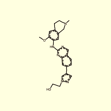 COc1cc2c(cc1Nc1ncc3ccc(-c4cnn(CCO)c4)cc3n1)CN(C)CC2